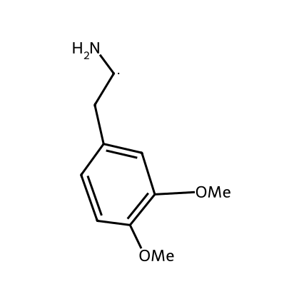 COc1ccc(C[CH]N)cc1OC